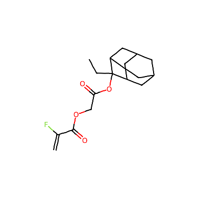 C=C(F)C(=O)OCC(=O)OC1(CC)C2CC3CC(C2)CC1C3